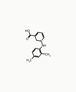 Cc1ccc(NN2C=CC=C(C(=O)O)C2)c(C)c1